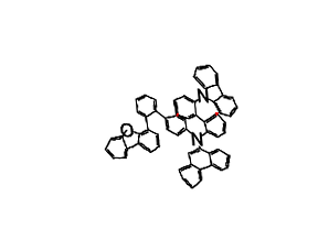 c1ccc(-c2cccc3c2oc2ccccc23)c(-c2ccc(N(c3ccccc3-c3ccccc3-n3c4ccccc4c4ccccc43)c3cc4ccccc4c4ccccc34)cc2)c1